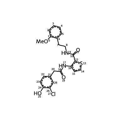 COc1ccccc1CCNC(=O)c1sccc1NC(=O)Cc1ccc(O)c(Cl)c1